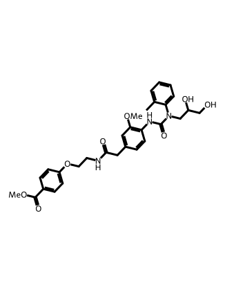 COC(=O)c1ccc(OCCNC(=O)Cc2ccc(NC(=O)N(CC(O)CO)c3ccccc3C)c(OC)c2)cc1